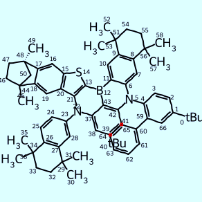 CC(C)(C)c1ccc(N2c3cc4c(cc3B3c5sc6cc7c(cc6c5N(c5ccc6c(c5)C(C)(C)CCC6(C)C)c5cc(C(C)(C)C)cc2c53)C2(C)CC[C@]7(C)C2)C(C)(C)CCC4(C)C)c(-c2ccccc2)c1